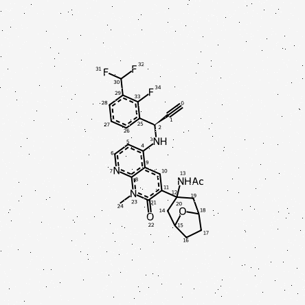 C#C[C@@H](Nc1ccnc2c1cc(C1(NC(C)=O)CC3CCC(C1)O3)c(=O)n2C)c1cccc(C(F)F)c1F